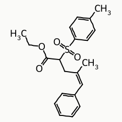 CCOC(=O)C(C/C(C)=C\c1ccccc1)S(=O)(=O)c1ccc(C)cc1